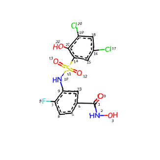 O=C(NO)c1ccc(F)c(NS(=O)(=O)c2cc(Cl)cc(Cl)c2O)c1